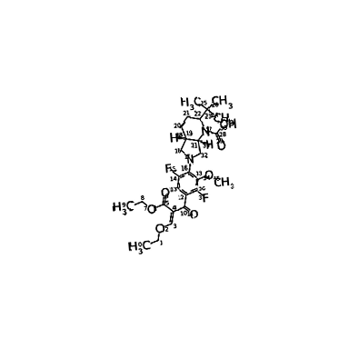 CCOC=C(C(=O)OCC)C(=O)c1cc(F)c(N2C[C@@H]3CCC(C(C)(C)C)N(C(=O)O)[C@@H]3C2)c(OC)c1F